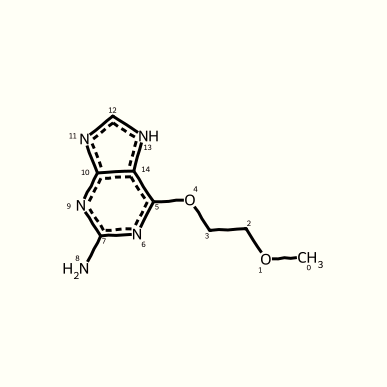 COCCOc1nc(N)nc2nc[nH]c12